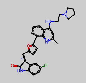 Cc1cc(NCCN2CCCC2)c2cccc(-c3ccc(/C=C4/C(=O)Nc5ccc(Cl)cc54)o3)c2n1